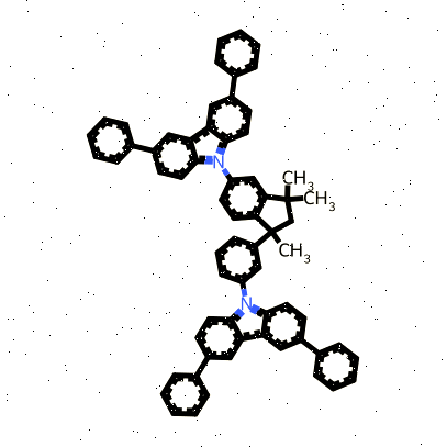 CC1(C)CC(C)(c2cccc(-n3c4ccc(-c5ccccc5)cc4c4cc(-c5ccccc5)ccc43)c2)c2ccc(-n3c4ccc(-c5ccccc5)cc4c4cc(-c5ccccc5)ccc43)cc21